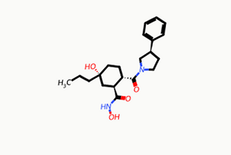 CCC[C@@]1(O)CC[C@H](C(=O)N2CC[C@H](c3ccccc3)C2)[C@@H](C(=O)NO)C1